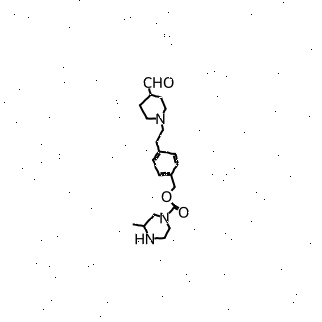 CC1CN(C(=O)OCc2ccc(CCN3CCC(C=O)CC3)cc2)CCN1